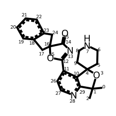 CC1(C)OC2(CCNCC2)c2c(C3=NC(=O)C4(Cc5ccccc5C4)O3)ccnc21